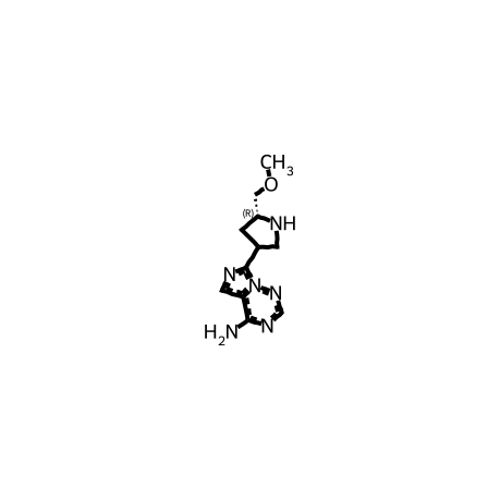 COC[C@H]1CC(c2ncc3c(N)ncnn23)CN1